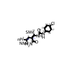 CCC/C(=C/C(C(N)=O)=C(/NC(=O)Nc1ccc(Cl)cc1)SC)NC